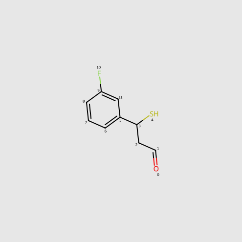 O=CCC(S)c1cccc(F)c1